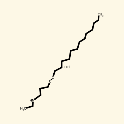 CCCCCCCCCCCCCCCCCCNCC.Cl